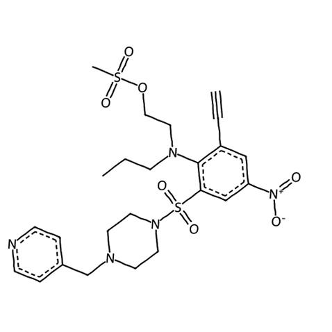 C#Cc1cc([N+](=O)[O-])cc(S(=O)(=O)N2CCN(Cc3ccncc3)CC2)c1N(CCC)CCOS(C)(=O)=O